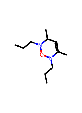 CCCN1ON(CCC)C(C)C=C1C